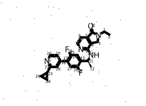 CCN1Cc2c(ccnc2N[C@@H](C)c2cc(F)c(-c3ccnc(C4CC4)c3)cc2F)C1=O